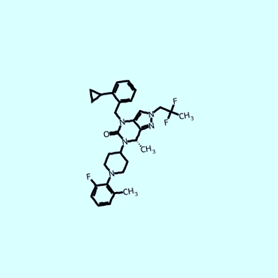 Cc1cccc(F)c1N1CCC(N2C(=O)N(Cc3ccccc3C3CC3)c3cn(CC(C)(F)F)nc3[C@@H]2C)CC1